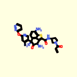 C=CC(=O)N1CCC(NC(=O)c2sc3c(N)ccc4c3c2C(N)C(=O)C4(N)c2cnc(Oc3cccnn3)cc2C)C1